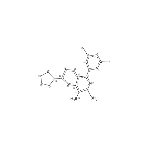 Bc1nc(-c2cc(C)cc(C)c2)c2ccc(C3CCCC3)cc2c1B